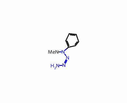 CNN(/N=N\N)c1ccccc1